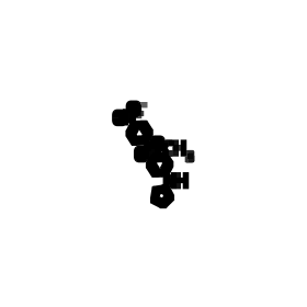 Cc1cc(NC2CCCC2)ccc1S(=O)(=O)c1ccc([N+](=O)[O-])cc1